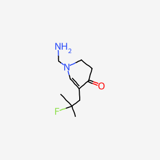 CC(C)(F)CC1=CN(CN)CCC1=O